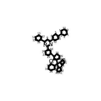 c1ccc(-c2ccc(-c3cc(-c4ccccc4)nc(-c4cccc(-c5cccc6c5Oc5ccccc5C65c6ccccc6-c6ccccc65)c4)n3)cc2)cc1